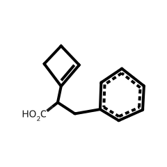 O=C(O)C(Cc1ccccc1)C1=CCC1